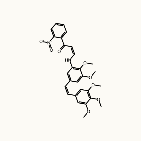 COc1cc(/C=C\c2cc(OC)c(OC)c(OC)c2)cc(N/C=C\C(=O)c2ccccc2[N+](=O)[O-])c1OC